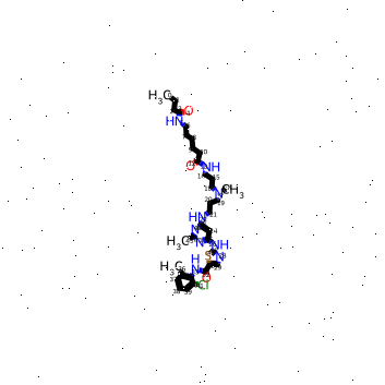 CCCC(=O)NCCCCCC(=O)NCCCN(C)CCCNc1cc(Nc2ncc(C(=O)Nc3c(C)cccc3Cl)s2)nc(C)n1